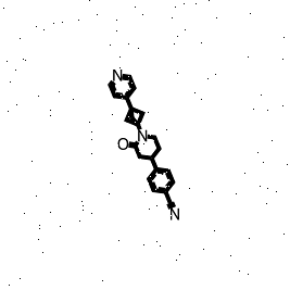 N#Cc1ccc(C2CCN(C34CC(c5ccncc5)(C3)C4)C(=O)C2)cc1